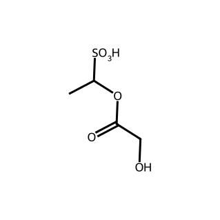 CC(OC(=O)CO)S(=O)(=O)O